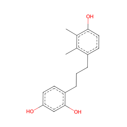 Cc1c(O)ccc(CCCc2ccc(O)cc2O)c1C